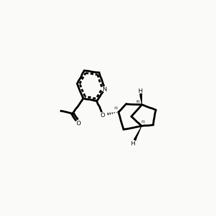 CC(=O)c1cccnc1O[C@@H]1C[C@@H]2CC[C@@H](C2)C1